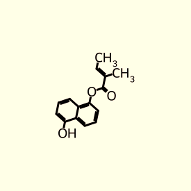 CC=C(C)C(=O)Oc1cccc2c(O)cccc12